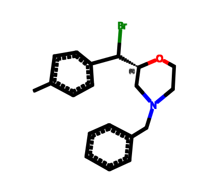 Cc1ccc(C(Br)[C@H]2CN(Cc3ccccc3)CCO2)cc1